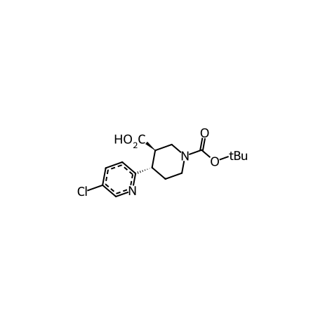 CC(C)(C)OC(=O)N1CC[C@H](c2ccc(Cl)cn2)[C@@H](C(=O)O)C1